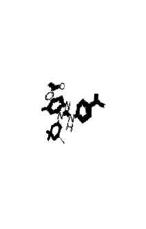 CC(=O)Oc1cc2nc(Nc3ccc(C(C)C)cc3)n([C@@H]3C[C@H](C)CC(C)(C)C3)c2cc1C